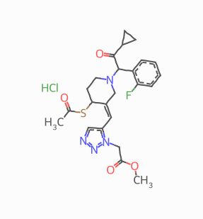 COC(=O)Cn1nncc1C=C1CN(C(C(=O)C2CC2)c2ccccc2F)CCC1SC(C)=O.Cl